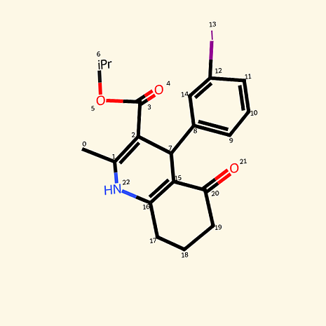 CC1=C(C(=O)OC(C)C)C(c2cccc(I)c2)C2=C(CCCC2=O)N1